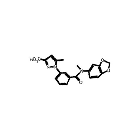 Cc1cc(C(=O)O)nn1-c1cccc(C(=O)N(C)c2ccc3c(c2)OCO3)c1